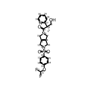 C[C@](CO)(C(=O)N1CC2=C(C1)CN(S(=O)(=O)c1ccc(OC(F)F)cc1)C2)c1ccccn1